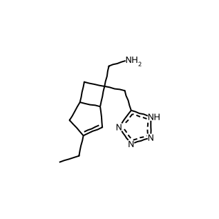 CCC1=CC2C(C1)CC2(CN)Cc1nnn[nH]1